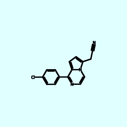 N#CCc1ccc2c(-c3ccc(Cl)cc3)nccn12